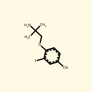 CC(C)(N)COc1ccc(C#N)cc1F